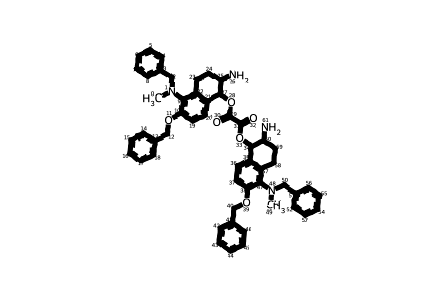 CN(Cc1ccccc1)c1c(OCc2ccccc2)ccc2c1CCC(N)C2OC(=O)C(=O)OC1c2ccc(OCc3ccccc3)c(N(C)Cc3ccccc3)c2CCC1N